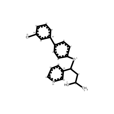 CC(O)CC(Oc1ccc(-c2cccc(Cl)c2)cc1)c1cccnc1